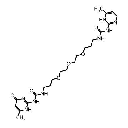 CC1=CCN=C(NC(=O)NCCCOCCOCCOCCCNC(=O)Nc2nc(=O)cc(C)[nH]2)N1